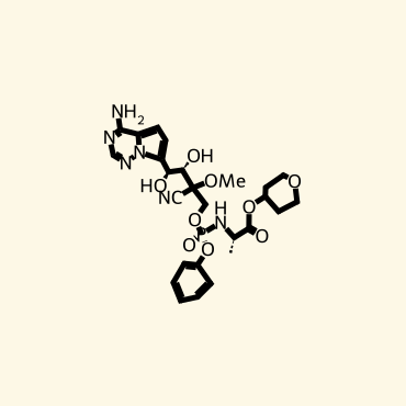 COC(C#N)(COP(=O)(N[C@@H](C)C(=O)OC1CCOCC1)Oc1ccccc1)[C@@H](O)[C@@H](O)c1ccc2c(N)ncnn12